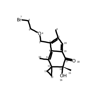 CC1=C(COCCBr)C2=C(C)C3(CC3)[C@@](C)(O)C(=O)C2=C1